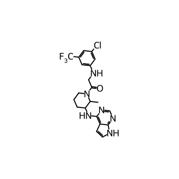 CC1C(Nc2ncnc3[nH]ccc23)CCCN1C(=O)CNc1cc(Cl)cc(C(F)(F)F)c1